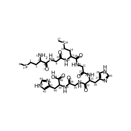 CSCCC(N)C(=O)NCC(=O)NC(CCSC)C(=O)NCC(=O)NC(Cc1c[nH]cn1)C(=O)NCC(=O)NC(Cc1c[nH]cn1)C(=O)O